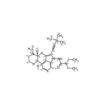 CCN(CC)C(=O)Nn1c(C#C[Si](C)(C)C)c2c3c(cccc31)[C@H]1CCCN(C)[C@@H]1C2